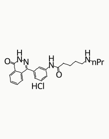 CCCNCCCCC(=O)Nc1cccc(-c2n[nH]c(=O)c3ccccc23)c1.Cl